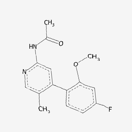 COc1cc(F)ccc1-c1cc(NC(C)=O)ncc1C